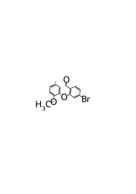 COc1cc[c]cc1Oc1cc(Br)ccc1C=O